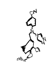 CCCCOc1ccc(CN(c2ccc(C#N)cc2)n2cnnc2)cc1Cl